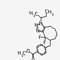 CCC(C)n1nnc2c1CCCCC(Cc1ccc(C(=O)OC)cc1)C2(F)F